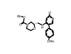 COc1ccc(-c2cnc(Cl)cc2NC[C@H]2CN(C(=O)OC(C)(C)C)CCO2)cc1